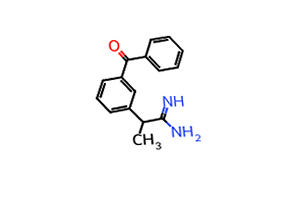 CC(C(=N)N)c1cccc(C(=O)c2ccccc2)c1